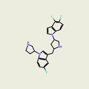 Fc1ccc2c(c1)c(CC1CC(n3ccc4c(F)c(F)ccc43)CN1)cn2C1CCNC1